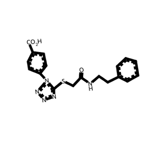 O=C(CSc1nnnn1-c1ccc(C(=O)O)cc1)NCCc1ccccc1